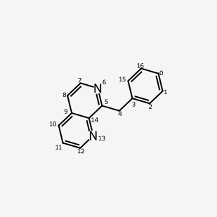 c1ccc(Cc2nccc3cccnc23)cc1